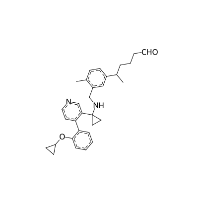 Cc1ccc(C(C)CCCC=O)cc1CNC1(c2cnccc2-c2ccccc2OC2CC2)CC1